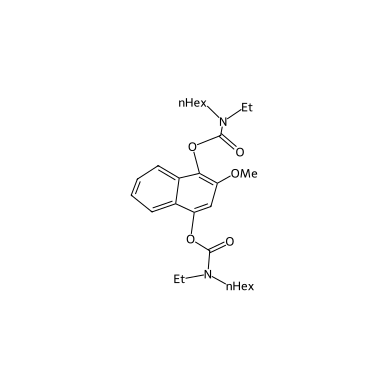 CCCCCCN(CC)C(=O)Oc1cc(OC)c(OC(=O)N(CC)CCCCCC)c2ccccc12